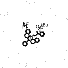 CC(C)(C)OC(=O)n1cc(CC[n+]2c3c(c(-c4ccccc4)c4c2-c2ccccc2CC4)CCc2ccccc2-3)c2ccccc21.F[B-](F)(F)F